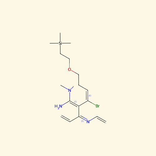 C=C\N=C(C=C)/C(=C(\N)N(C)C)C(/Br)=C\CCOCC[Si](C)(C)C